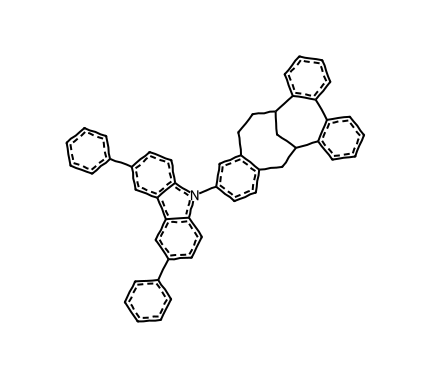 c1ccc(-c2ccc3c(c2)c2cc(-c4ccccc4)ccc2n3-c2ccc3c(c2)CCC2CC(C3)c3ccccc3-c3ccccc32)cc1